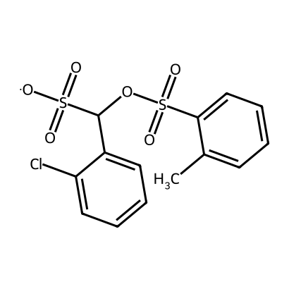 Cc1ccccc1S(=O)(=O)OC(c1ccccc1Cl)S([O])(=O)=O